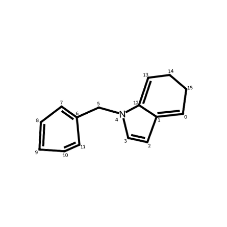 C1=c2ccn(Cc3ccccc3)c2=CCC1